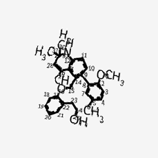 COc1ccc(C)cc1-c1ccc2c(c1COc1ccccc1CCO)C(C)=CC(C)(C)N2